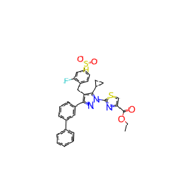 CCOC(=O)c1csc(-n2nc(-c3cccc(-c4ccccc4)c3)c(Cc3ccc([SH](=O)=O)cc3F)c2C2CC2)n1